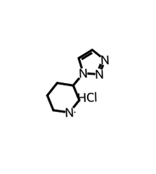 Cl.c1cn(C2CCC[N]C2)nn1